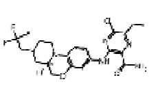 CCc1nc(C(N)=O)c(Nc2ccc3c(c2)OC[C@H]2CN(CC(F)(F)F)CCN32)nc1Cl